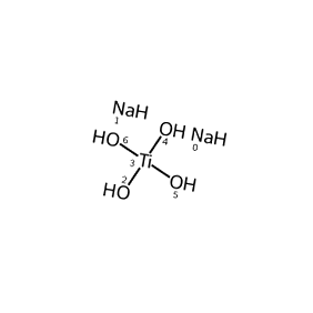 [NaH].[NaH].[OH][Ti]([OH])([OH])[OH]